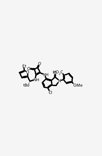 CCc1ccc([C@H](Nc2c(Nc3ccc(Cl)c4c3C(=O)N(c3cc(OC)ccc3C(=O)O)C4)c(=O)c2=O)C(C)(C)C)o1